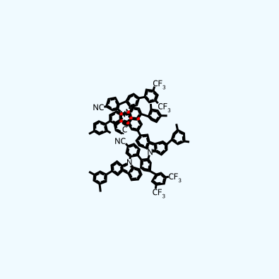 Cc1cc(C)cc(-c2ccc3c(c2)c2ccccc2n3-c2cc(C#N)ccc2-c2ccc(-c3cc(C(F)(F)F)cc(C(F)(F)F)c3)cc2-n2c3ccc(-c4cc(C)cc(C)c4)cc3c3cc(-c4ccc5c(c4)c4cc(-c6ccc(C)cc6C)ccc4n5-c4cc(-c5cc(C(F)(F)F)cc(C(F)(F)F)c5)ccc4-c4ccc(C#N)cc4-n4c5ccccc5c5cc(-c6ccc(C)cc6C)ccc54)ccc32)c1